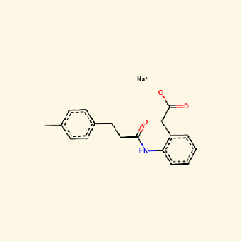 Cc1ccc(CCC(=O)Nc2ccccc2CC(=O)[O-])cc1.[Na+]